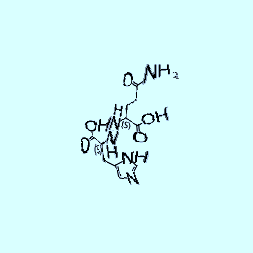 NC(=O)CC[C@H](NN[C@@H](Cc1cnc[nH]1)C(=O)O)C(=O)O